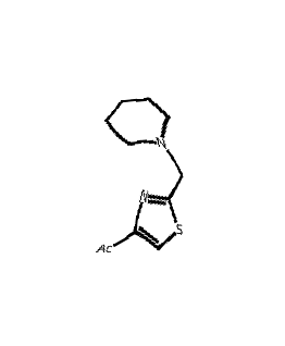 CC(=O)c1csc(CN2CCCCC2)n1